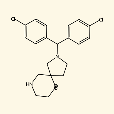 Clc1ccc(C(c2ccc(Cl)cc2)N2CCC3(CNCCC34OCCO4)C2)cc1